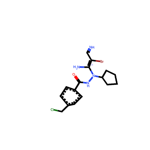 N=C/C(Br)=C(\N)N(NC(=O)c1ccc(CCl)cc1)C1CCCC1